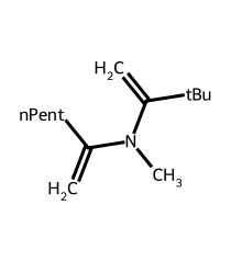 C=C(CCCCC)N(C)C(=C)C(C)(C)C